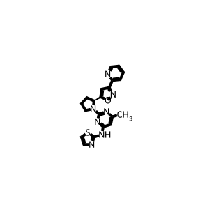 Cc1cc(Nc2nccs2)nc(N2CCC[C@H]2c2cc(-c3ccccn3)no2)n1